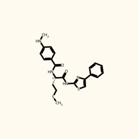 CNc1ccc(C(=O)N[C@@H](CCSC)C(=O)Nc2nc(-c3ccccc3)cs2)cc1